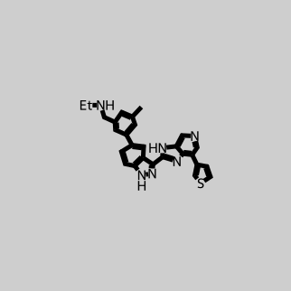 CCNCc1cc(C)cc(-c2ccc3[nH]nc(-c4nc5c(-c6ccsc6)cncc5[nH]4)c3c2)c1